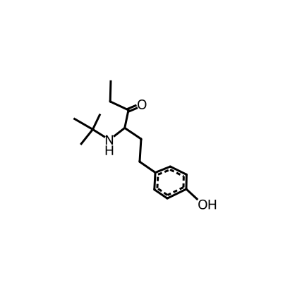 CCC(=O)C(CCc1ccc(O)cc1)NC(C)(C)C